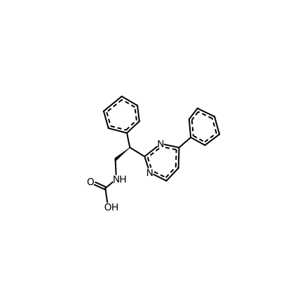 O=C(O)NC[C@@H](c1ccccc1)c1nccc(-c2ccccc2)n1